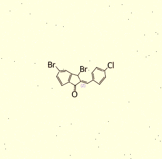 O=C1/C(=C/c2ccc(Cl)cc2)C(Br)c2cc(Br)ccc21